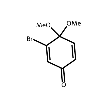 COC1(OC)C=CC(=O)C=C1Br